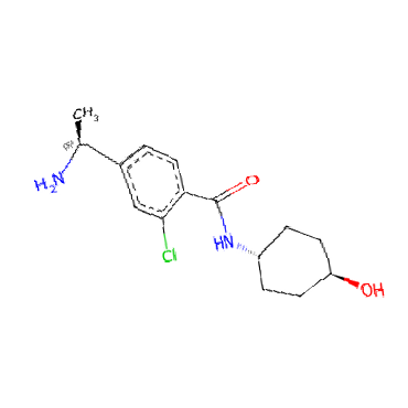 C[C@H](N)c1ccc(C(=O)N[C@H]2CC[C@H](O)CC2)c(Cl)c1